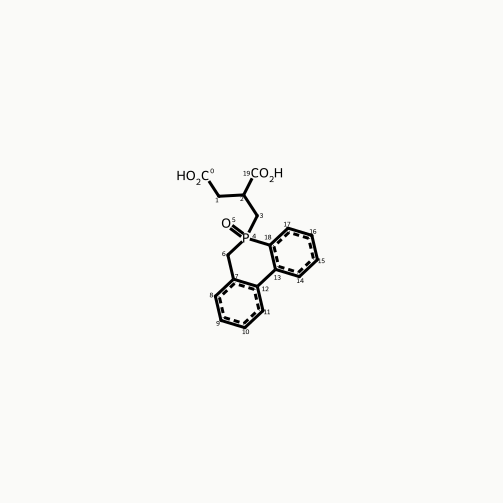 O=C(O)CC(CP1(=O)Cc2ccccc2-c2ccccc21)C(=O)O